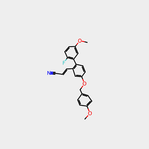 COc1ccc(COc2ccc(-c3cc(OC)ccc3F)c(C=CC#N)c2)cc1